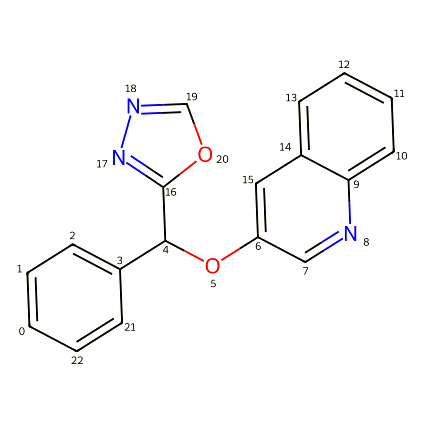 c1ccc(C(Oc2cnc3ccccc3c2)c2nnco2)cc1